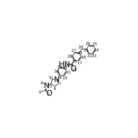 CC(=O)N(C)C1CCN(c2ccc(NC(=O)c3ccc(Cc4ccccc4)cc3)cc2)C1